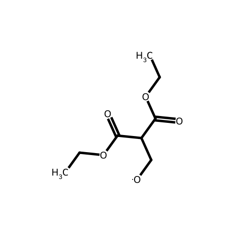 CCOC(=O)C(C[O])C(=O)OCC